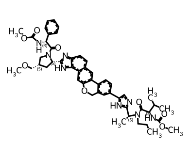 CCCN(C(=O)[C@@H](NC(=O)OC)C(C)C)[C@@H](C)c1ncc(-c2ccc3c(c2)COc2cc4c(ccc5nc([C@@H]6C[C@H](COC)CN6C(=O)[C@H](NC(=O)OC)c6ccccc6)[nH]c54)cc2-3)[nH]1